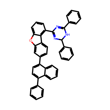 c1ccc(C2=NC(c3cccc4oc5cc(-c6ccc(-c7ccccc7)c7ccccc67)ccc5c34)=NC(c3ccccc3)N2)cc1